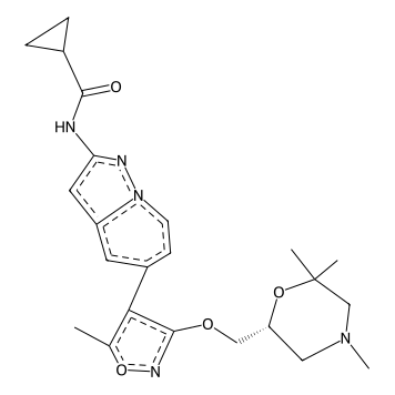 Cc1onc(OC[C@H]2CN(C)CC(C)(C)O2)c1-c1ccn2nc(NC(=O)C3CC3)cc2c1